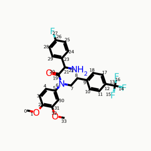 COc1ccc(N(CCc2ccc(C(F)(F)F)cc2)C(=O)C(N)c2ccc(F)cc2)cc1OC